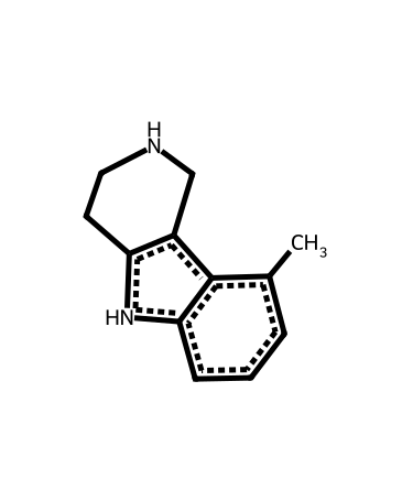 Cc1cccc2[nH]c3c(c12)CNCC3